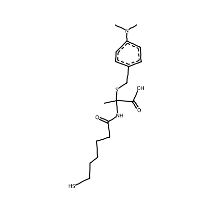 CN(C)c1ccc(CSC(C)(NC(=O)CCCCCS)C(=O)O)cc1